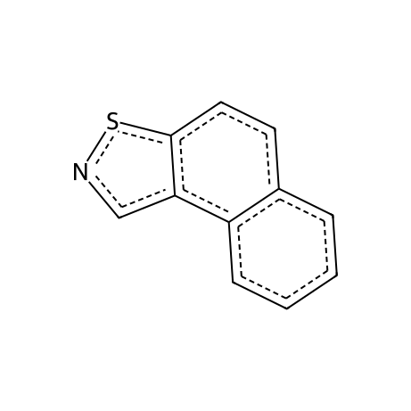 c1ccc2c(c1)ccc1sncc12